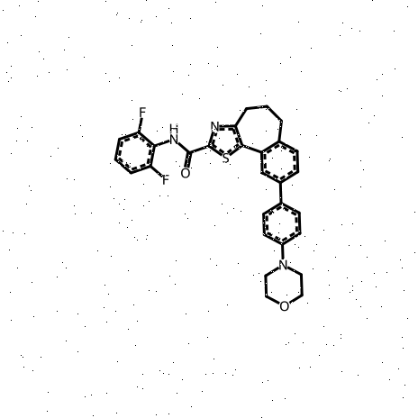 O=C(Nc1c(F)cccc1F)c1nc2c(s1)-c1cc(-c3ccc(N4CCOCC4)cc3)ccc1CCC2